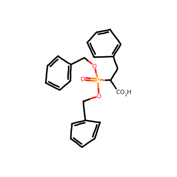 O=C(O)C(Cc1ccccc1)P(=O)(OCc1ccccc1)OCc1ccccc1